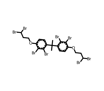 CC(C)(c1ccc(OCCC(Br)Br)c(Br)c1Br)c1ccc(OCCC(Br)Br)c(Br)c1Br